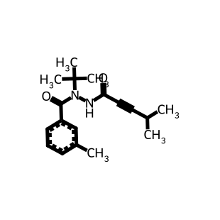 Cc1cccc(C(=O)N(NC(=O)C#CC(C)C)C(C)(C)C)c1